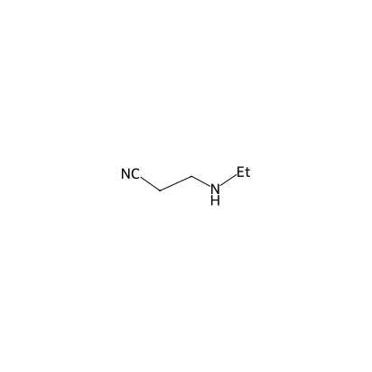 [CH2]CNCCC#N